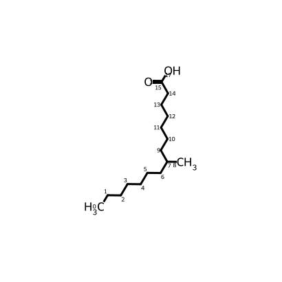 CCCCCCCC(C)CCCCCCC(=O)O